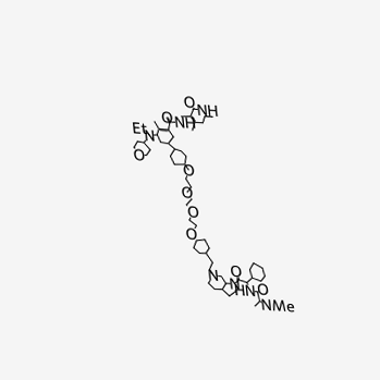 CCN(C1CCOCC1)C1CC(C2CCC(OCCOCCOCCOC3CCC(CCN4CCC5CCN(C(=O)C(NC(=O)C(C)NC)C6CCCCC6)C5C4)CC3)CC2)CC(C(=O)NCC2=C(C)CC(C)NC2=O)=C1C